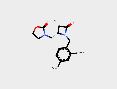 COc1ccc(CN2C(=O)[C@@H](C)[C@H]2CN2CCOC2=O)c(OC)c1